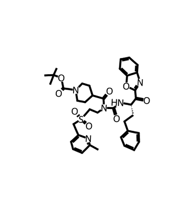 Cc1cccc(CS(=O)(=O)CCN(C(=O)N[C@@H](CCc2ccccc2)C(=O)c2nc3ccccc3o2)C(=O)C2CCN(C(=O)OC(C)(C)C)CC2)n1